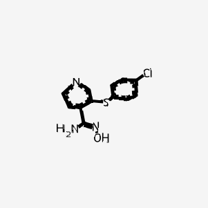 NC(=NO)c1ccncc1Sc1ccc(Cl)cc1